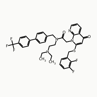 CCN(CC)CCN(Cc1ccc(-c2ccc(C(F)(F)F)cc2)cc1)C(=O)Cn1c(SCc2cccc(F)c2F)cc(=O)c2cccnc21